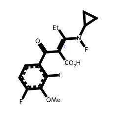 CC/C(=C(/C(=O)O)C(=O)c1ccc(F)c(OC)c1F)N(F)C1CC1